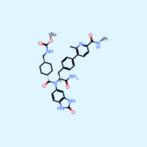 Cc1nc(C(=O)NC(C)C)ccc1-c1ccc(C[C@@H](C(N)=O)N(c2ccc3[nH]c(=O)[nH]c3c2)C(=O)[C@H]2CC[C@H](CNC(=O)OC(C)(C)C)CC2)cc1